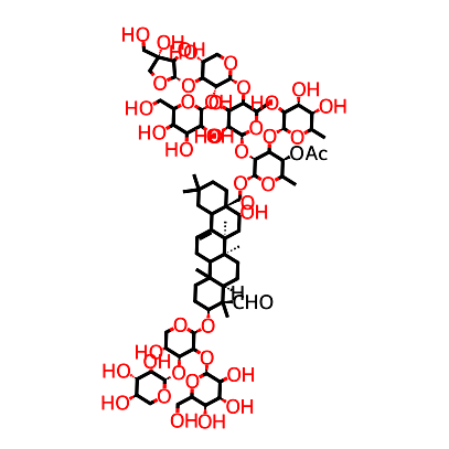 CC(=O)O[C@H]1C(C)O[C@@H](OC(=O)[C@]23CCC(C)(C)CC2C2=CCC4C5(C)CC[C@H](O[C@@H]6OC[C@@H](O)[C@H](O[C@@H]7OC[C@@H](O)[C@H](O)C7O)C6O[C@@H]6OC(CO)[C@H](O)[C@H](O)C6O)[C@](C)(C=O)[C@@H]5CC[C@]4(C)[C@]2(C)CC3O)[C@H](O[C@@H]2OC(C)C(O[C@@H]3OC[C@@H](O)C(O[C@@H]4OC[C@@](O)(CO)C4O)[C@H]3O)C(O[C@@H]3OC(CO)C(O)C(O)C3O)[C@@H]2O)C1O[C@@H]1OC(C)[C@H](O)[C@H](O)C1O